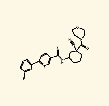 N#CC1(C(=O)N2CCOCC2)CCCC(NC(=O)c2ccc(-c3cccc(F)c3)nc2)C1